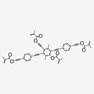 C=C(C)C(=O)OC#Cc1ccc(C#Cc2c(C)c(OC(=O)C(=C)C)c(C#Cc3ccc(C#COC(=O)C(=C)C)cc3)c(C)c2C#COC(=O)C(=C)C)cc1